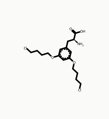 N[C@@H](Cc1cc(OCCCCCl)cc(OCCCCCl)c1)C(=O)O